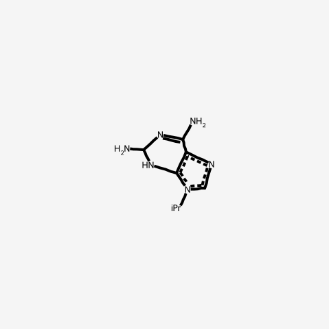 CC(C)n1cnc2c1NC(N)N=C2N